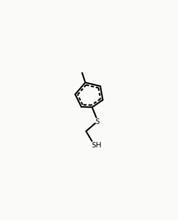 Cc1ccc(SCS)cc1